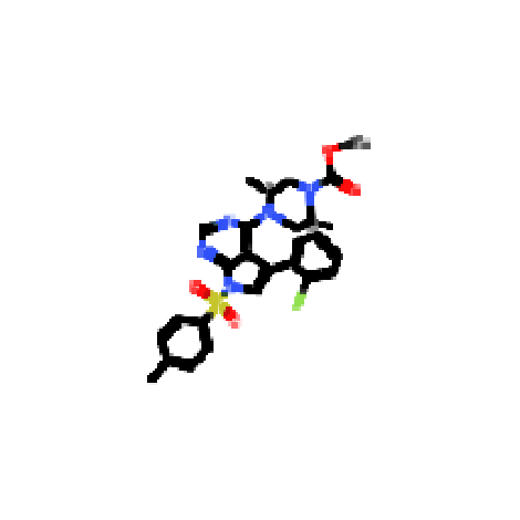 Cc1ccc(S(=O)(=O)n2cc(-c3ccccc3F)c3c(N4C[C@@H](C)N(C(=O)OC(C)(C)C)C[C@@H]4C)ncnc32)cc1